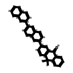 CC1(C)c2ccccc2C(=O)c2cc(-c3ccc4cc(-c5ccc6ccccc6c5)ccc4c3)ccc21